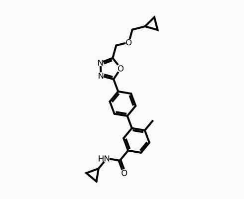 Cc1ccc(C(=O)NC2CC2)cc1-c1ccc(-c2nnc(COCC3CC3)o2)cc1